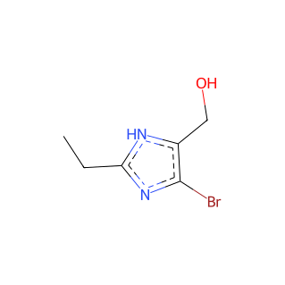 CCc1nc(Br)c(CO)[nH]1